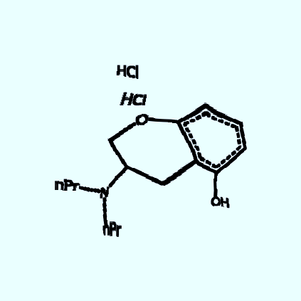 CCCN(CCC)C1COc2cccc(O)c2C1.Cl.Cl